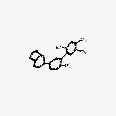 Cc1cc(-c2cc(-c3ccc4cccn4c3)ccc2C)[n+](C)cc1C